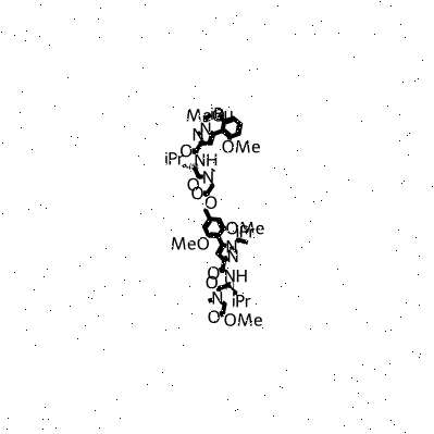 CCC(C)Cn1nc(C(=O)N[C@@H](CC(C)C)C(=O)N(C)CC(=O)OCc2cc(OC)c(-c3cc(C(=O)N[C@@H](CC(C)C)C(=O)N(C)CC(=O)OC)nn3C(C)C(C)C)c(OC)c2)cc1-c1c(OC)cccc1OC